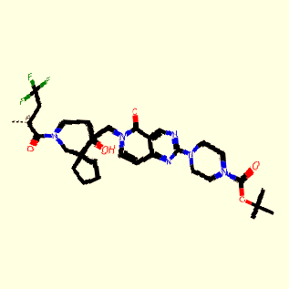 C[C@H](CC(F)(F)F)C(=O)N1CCC(O)(Cn2ccc3nc(N4CCN(C(=O)OC(C)(C)C)CC4)ncc3c2=O)C2(CCCC2)C1